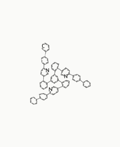 c1ccc(-c2ccc(-c3ccc(-c4ccccc4-c4cc(-c5ccccc5-c5ccc(-c6ccc(-c7ccccc7)cc6)nc5)cc(-c5ccccc5-c5ccc(-c6ccc(-c7ccccc7)cc6)nc5)c4)cn3)cc2)cc1